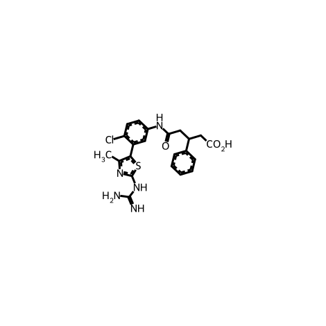 Cc1nc(NC(=N)N)sc1-c1cc(NC(=O)CC(CC(=O)O)c2ccccc2)ccc1Cl